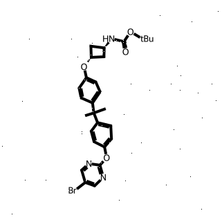 CC(C)(C)OC(=O)N[C@H]1C[C@H](Oc2ccc(C(C)(C)c3ccc(Oc4ncc(Br)cn4)cc3)cc2)C1